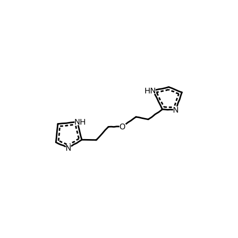 c1c[nH]c(CCOCCc2ncc[nH]2)n1